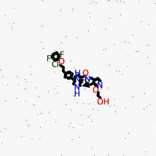 Cc1c(CN(C(=O)C2=CCC3(c4ccc(CCCOc5c(F)ccc(F)c5Cl)cc4)CNC[C@H]2N3)C2CC2)ccnc1OCCCO